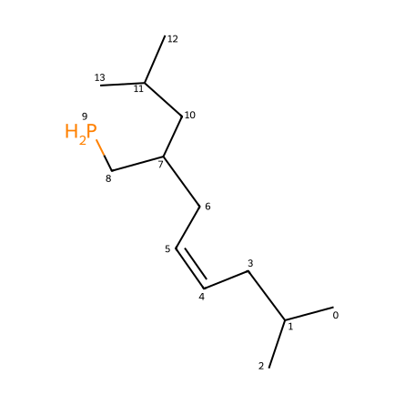 CC(C)C/C=C\CC(CP)CC(C)C